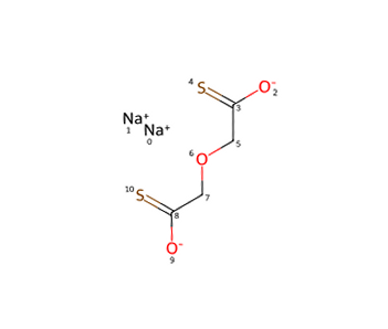 [Na+].[Na+].[O-]C(=S)COCC([O-])=S